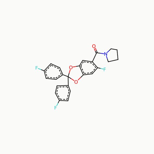 O=C(c1cc2c(cc1F)OC(c1ccc(F)cc1)(c1ccc(F)cc1)O2)N1CCCC1